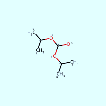 CC(C)OC([O])OC(C)C